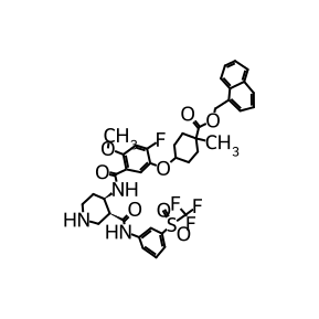 COc1cc(F)c(OC2CCC(C)(C(=O)OCc3cccc4ccccc34)CC2)cc1C(=O)N[C@@H]1CCNC[C@@H]1C(=O)Nc1cccc(S(=O)(=O)C(F)(F)F)c1